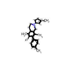 CCc1c(C)c2c(c(C)c1-c1ccc(C)cc1)CN(C1CC[C@@H](C)C1)CC2